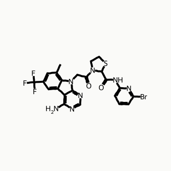 Cc1cc(C(F)(F)F)cc2c3c(N)ncnc3n(CC(=O)N3CCSC3C(=O)Nc3cccc(Br)n3)c12